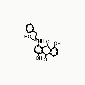 O=C1c2cccc(O)c2C(=O)c2c(N[C@H](CO)Cc3ccccc3)ccc(O)c21